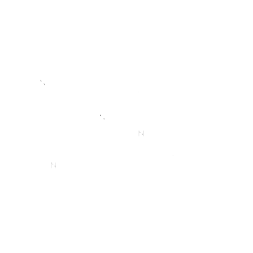 N#CCCN(CCC#N)[S+]([O-])N1CSc2ccccc21